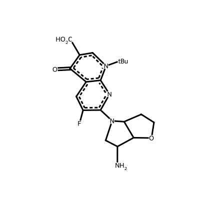 CC(C)(C)n1cc(C(=O)O)c(=O)c2cc(F)c(N3CC(N)C4OCCC43)nc21